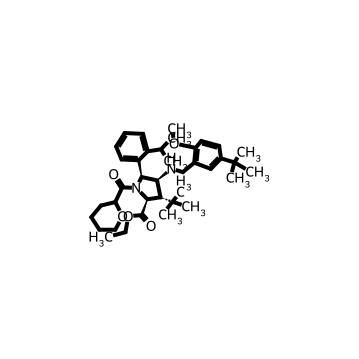 CCOC(=O)[C@@H]1[C@@H](C(C)(C)C)[C@H](NCc2cc(C(C)(C)C)ccc2OC)[C@H](c2ccccc2C(C)C)N1C(=O)C1CCCCO1